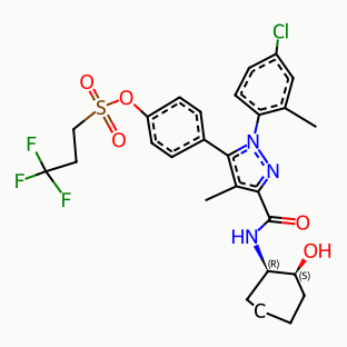 Cc1cc(Cl)ccc1-n1nc(C(=O)N[C@@H]2CCCC[C@@H]2O)c(C)c1-c1ccc(OS(=O)(=O)CCC(F)(F)F)cc1